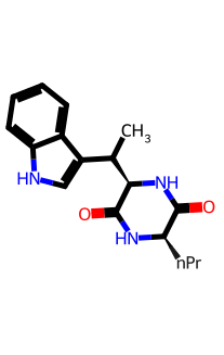 CCC[C@H]1NC(=O)[C@@H](C(C)c2c[nH]c3ccccc23)NC1=O